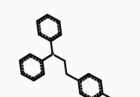 CCC(C)c1ccc(CCP(c2ccccc2)c2ccccc2)cc1